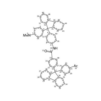 CNc1ccc(C2(c3ccc(NC(=O)c4ccc(C5(c6ccc(C(C)=O)cc6)c6ccccc6-c6ccccc65)cc4)cc3)c3ccccc3-c3ccccc32)cc1